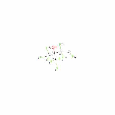 OC(C(F)(F)F)(C(F)(F)F)C(F)(F)CF